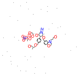 COCCCN1CCOc2ccc(CO[C@H]3CNC[C@@H](OC[C@@H](COC)OC(=O)OC(C)O[N+](=O)[O-])[C@@H]3c3ccc(COC[C@@H](C)COC)cc3)cc21